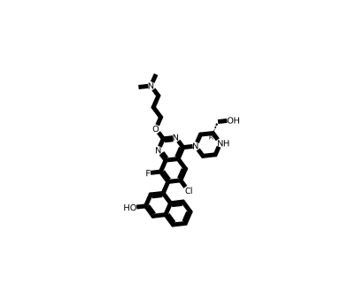 CN(C)CCCOc1nc(N2CCN[C@@H](CO)C2)c2cc(Cl)c(-c3cc(O)cc4ccccc34)c(F)c2n1